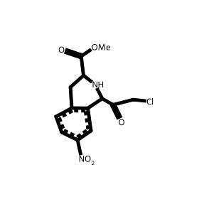 COC(=O)C1Cc2ccc([N+](=O)[O-])cc2C(C(=O)CCl)N1